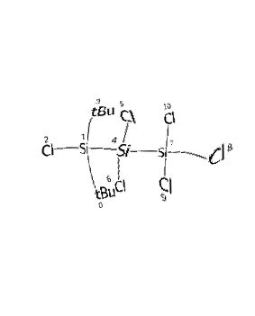 CC(C)(C)[Si](Cl)(C(C)(C)C)[Si](Cl)(Cl)[Si](Cl)(Cl)Cl